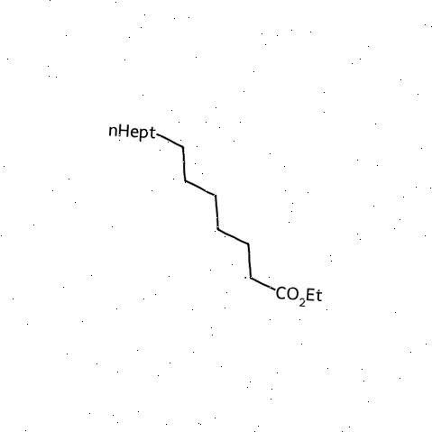 CCCCCCCCCCCC[CH]C(=O)OCC